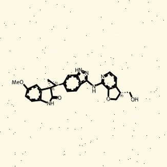 COc1ccc2c(c1)[C@]1(C[C@H]1c1ccc3c(Nc4nccc5c4OC[C@H]5CO)n[nH]c3c1)C(=O)N2